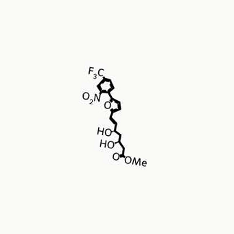 COC(=O)C[C@@H](O)C[C@H](O)/C=C/c1ccc(-c2ccc(C(F)(F)F)cc2[N+](=O)[O-])o1